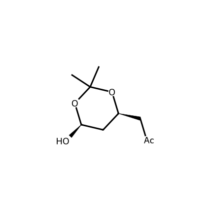 CC(=O)C[C@H]1C[C@@H](O)OC(C)(C)O1